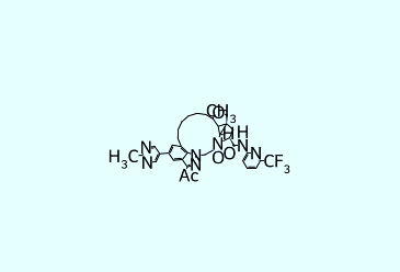 CC(=O)c1nn2c3c(cc(-c4cnc(C)nc4)cc13)CCCCCCC1(C)OC[C@@]34C[C@@H](C(=O)Nc5cccc(C(F)(F)F)n5)N(C(=O)C2)[C@@H]3C14